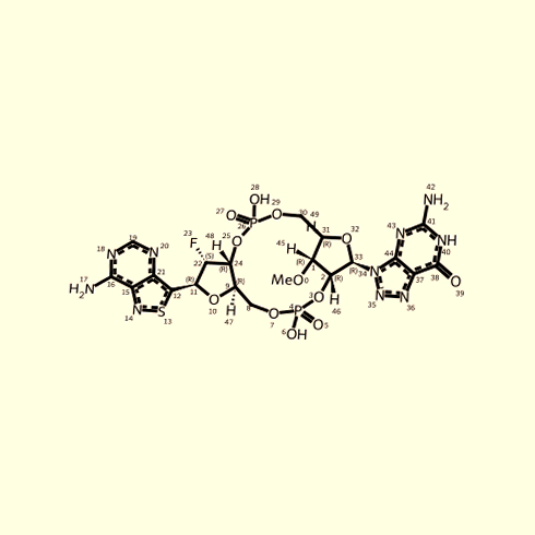 CO[C@H]1[C@H]2OP(=O)(O)OC[C@H]3O[C@@H](c4snc5c(N)ncnc45)[C@H](F)[C@@H]3OP(=O)(O)OC[C@H]1O[C@H]2n1nnc2c(=O)[nH]c(N)nc21